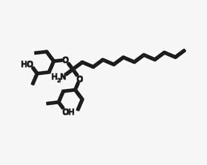 CCCCCCCCCCCC(N)(OC(CC)CC(C)O)OC(CC)CC(C)O